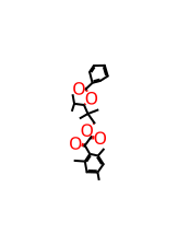 Cc1cc(C)c(C(=O)C(=O)OCC(C)(C)C(OC(=O)c2ccccc2)C(C)C)c(C)c1